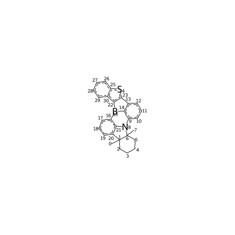 CC12CCCCC1(C)N1c3cccc4c3B(c3cccc2c31)c1c-4sc2ccccc12